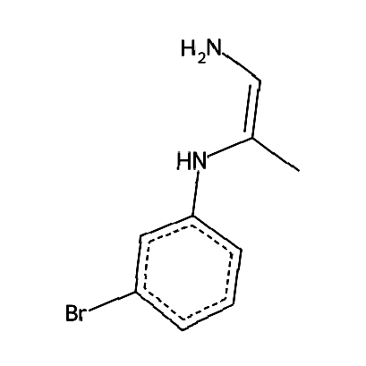 C/C(=C/N)Nc1cccc(Br)c1